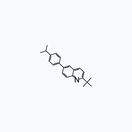 CC(C)c1ccc(-c2ccc3nc(C(C)(C)C)ccc3c2)cc1